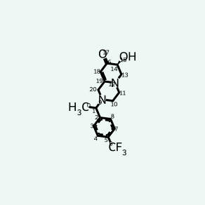 CC(c1ccc(C(F)(F)F)cc1)N1CCN2C[C@H](O)C(=O)C=C2C1